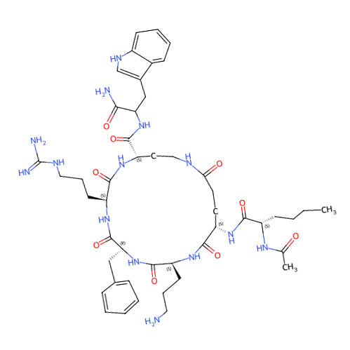 CCCC[C@H](NC(C)=O)C(=O)N[C@H]1CCC(=O)NCC[C@@H](C(=O)NC(Cc2c[nH]c3ccccc23)C(N)=O)NC(=O)[C@H](CCCNC(=N)N)NC(=O)[C@@H](Cc2ccccc2)NC(=O)[C@H](CCCN)NC1=O